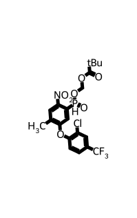 Cc1cc([N+](=O)[O-])c([PH](=O)OCOC(=O)C(C)(C)C)cc1Oc1ccc(C(F)(F)F)cc1Cl